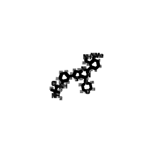 CNc1cccc(-c2nc(N3CCOCC3)c3sc(-c4cccc(NC(=O)C(C)(C)N)c4)cc3n2)c1C=N